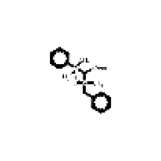 CCCCCC([Si](C)(C)Cc1ccccc1)[Si](C)(C)c1ccccc1